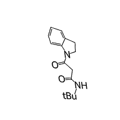 CC(C)(C)NC(=O)CC(=O)N1CCc2ccccc21